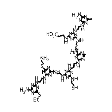 CCSc1nc(N)nc(NCCNc2nc(NCCNc3nc(NCCS)nc(NCCNc4ncnc(NCCNc5nc(NCCNc6nc(C)nc(N)n6)nc(NCCC(=O)O)n5)n4)n3)nc(SCCN)n2)n1